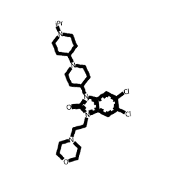 CC(C)N1CCC(N2CCC(n3c(=O)n(CCN4CCOCC4)c4cc(Cl)c(Cl)cc43)CC2)CC1